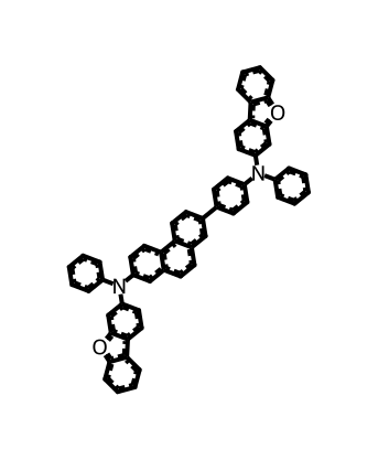 c1ccc(N(c2ccc(-c3ccc4c(ccc5cc(N(c6ccccc6)c6ccc7c(c6)oc6ccccc67)ccc54)c3)cc2)c2ccc3c(c2)oc2ccccc23)cc1